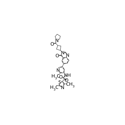 Cc1nc(C)c(S(=O)(=O)Nc2cc(-c3ccc4ncn(C5CC(C(=O)N6CCCC6)C5)c(=O)c4c3)cnc2C)s1